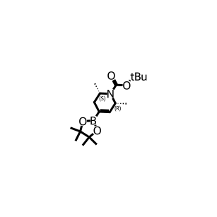 C[C@@H]1C=C(B2OC(C)(C)C(C)(C)O2)C[C@H](C)N1C(=O)OC(C)(C)C